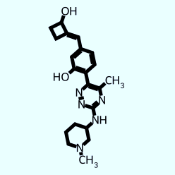 Cc1nc(NC2CCCN(C)C2)nnc1-c1ccc(/C=C2\CCC2O)cc1O